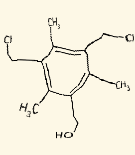 Cc1c(CO)c(C)c(CCl)c(C)c1CCl